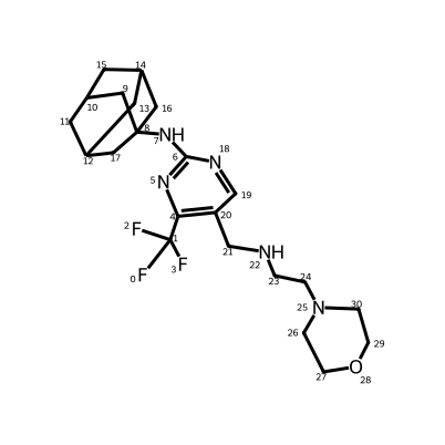 FC(F)(F)c1nc(NC23CC4CC(CC(C4)C2)C3)ncc1CNCCN1CCOCC1